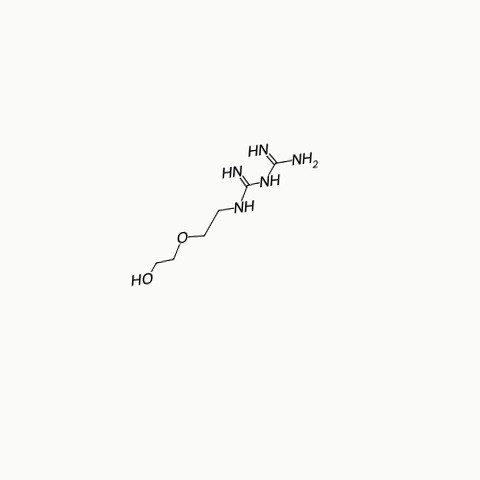 N=C(N)NC(=N)NCCOCCO